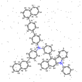 c1ccc(-n2c3ccccc3c3c(-c4cccc(N(c5ccc(-c6ccc(-c7cccc8ccccc78)cc6)cc5)c5ccc(-c6ccc7ccccc7c6)cc5)c4)c4ccccc4cc32)cc1